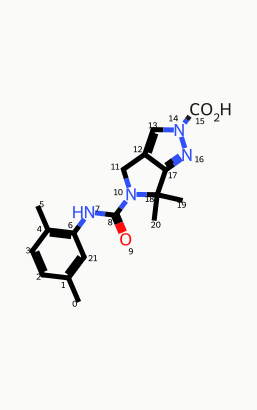 Cc1ccc(C)c(NC(=O)N2Cc3cn(C(=O)O)nc3C2(C)C)c1